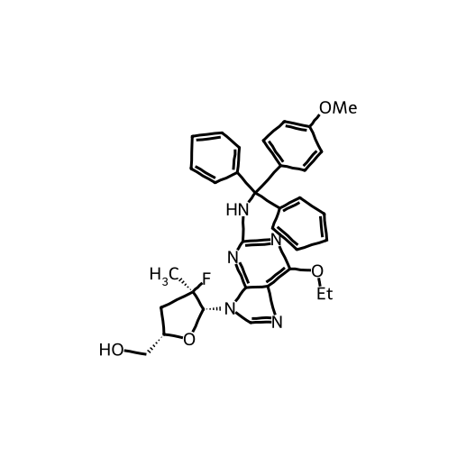 CCOc1nc(NC(c2ccccc2)(c2ccccc2)c2ccc(OC)cc2)nc2c1ncn2[C@@H]1O[C@H](CO)C[C@@]1(C)F